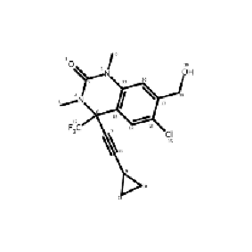 CN1C(=O)N(C)C(C#CC2CC2)(C(F)(F)F)c2cc(Cl)c(CO)cc21